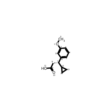 COc1cccc([C@@H](CC(=O)O)C2CC2)c1